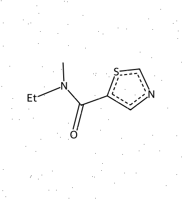 CCN(C)C(=O)c1cncs1